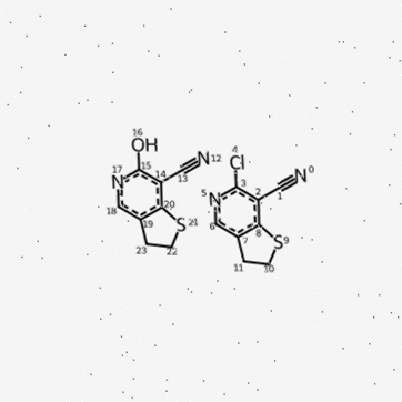 N#Cc1c(Cl)ncc2c1SCC2.N#Cc1c(O)ncc2c1SCC2